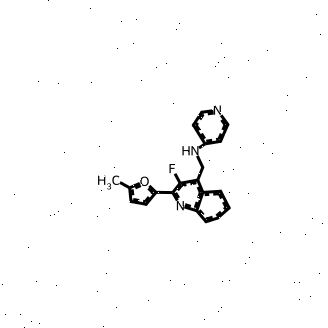 Cc1ccc(-c2nc3ccccc3c(CNc3ccncc3)c2F)o1